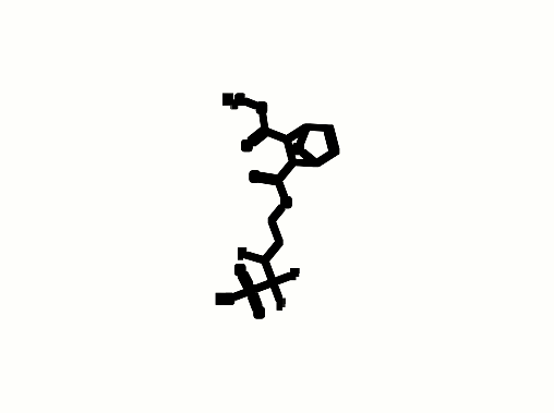 COC(=O)C1C2C=CC(O2)C1C(=O)OCCC(F)C(F)(F)S(=O)(=O)O